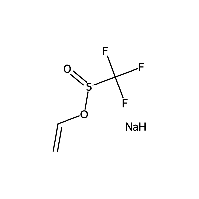 C=COS(=O)C(F)(F)F.[NaH]